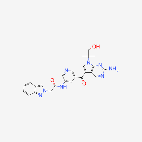 CC(C)(CO)n1cc(C(=O)c2cncc(NC(=O)Cn3cc4ccccc4n3)c2)c2cnc(N)nc21